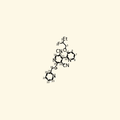 CCC(F)COc1cccnc1-c1c(C#N)cnc(SCc2ccccn2)c1C#N